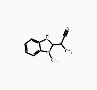 CC(C#N)C1Nc2ccccc2N1C